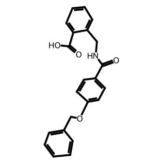 O=C(NCc1ccccc1C(=O)O)c1ccc(OCc2ccccc2)cc1